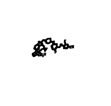 N#CCC1(Cn2c(CN3CCC(Oc4ccc(F)c(COc5ccc(C#N)cc5F)c4)CC3)nc3ccc(C4C#CC4C(=O)O)nc32)CC1